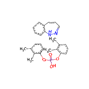 C1=Cc2ccccc2NN=C1.Cc1cccc(OP(=O)(O)Oc2cccc(C)c2C)c1C